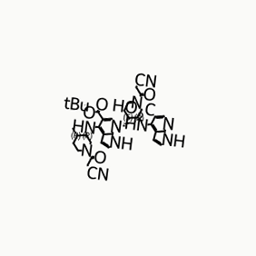 C[C@@H]1CCN(C(=O)CC#N)C[C@@H]1Nc1c(C(=O)OC(C)(C)C)c[n+](C[C@@H]2CCN(C(=O)CC#N)C[C@@H]2Nc2c(C(=O)O)cnc3[nH]ccc23)c2[nH]ccc12